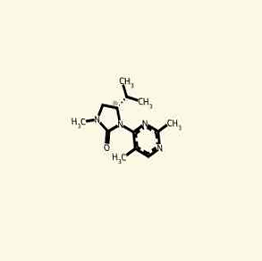 Cc1ncc(C)c(N2C(=O)N(C)C[C@@H]2C(C)C)n1